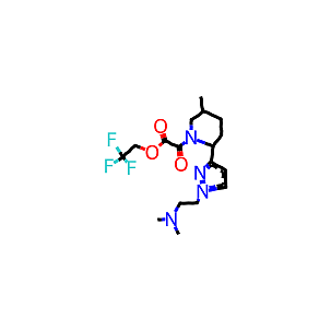 CC1CCC(c2ccn(CCN(C)C)n2)N(C(=O)C(=O)OCC(F)(F)F)C1